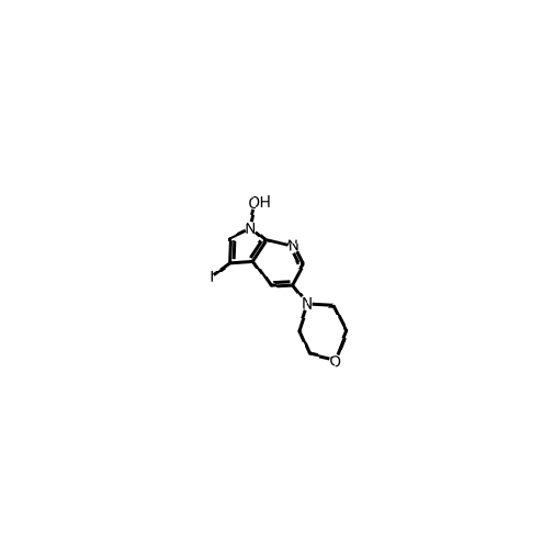 On1cc(I)c2cc(N3CCOCC3)cnc21